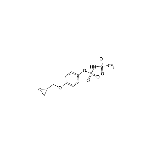 O=S(=O)(NS(=O)(=O)C(F)(F)F)Oc1ccc(OCC2CO2)cc1